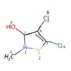 CN1SC(Cl)=C(Cl)C1O